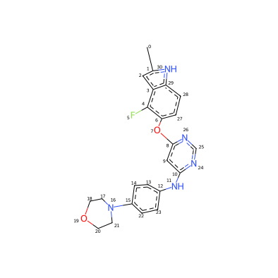 Cc1cc2c(F)c(Oc3cc(Nc4ccc(N5CCOCC5)cc4)ncn3)ccc2[nH]1